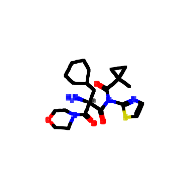 CC1(C(=O)N(C(=O)[C@@](N)(CC2CCCCC2)C(=O)N2CCOCC2)c2nccs2)CC1